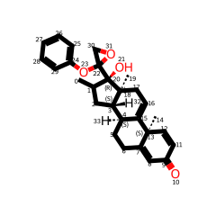 CC1C[C@H]2[C@@H]3CCC4=CC(=O)C=C[C@]4(C)C3=CC[C@]2(C)[C@@]1(O)C1(Oc2ccccc2)CO1